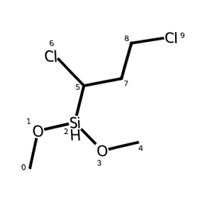 CO[SiH](OC)C(Cl)CCCl